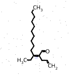 C=CC/C(C=O)=C(\CC)CCCCCCCCCC